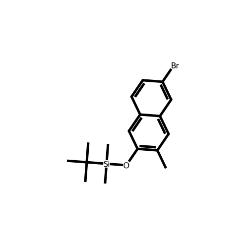 Cc1cc2cc(Br)ccc2cc1O[Si](C)(C)C(C)(C)C